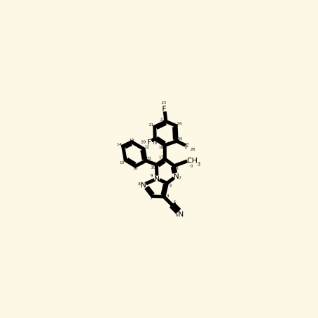 Cc1nc2c(C#N)cnn2c(-c2ccccc2)c1-c1c(F)cc(F)cc1F